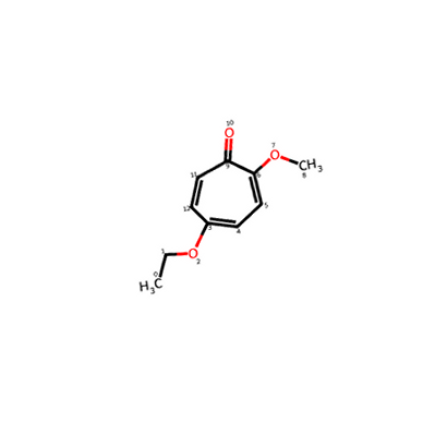 CCOc1ccc(OC)c(=O)cc1